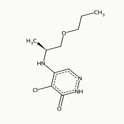 CCCOC[C@H](C)Nc1cn[nH]c(=O)c1Cl